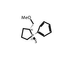 COC[C@H]1CCC[P@@]1(=S)c1ccccc1